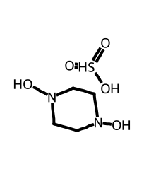 O=[SH](=O)O.ON1CCN(O)CC1